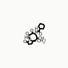 CC1(C)/C=C2/CCC(=O)N2NC(=O)C(=O)C(NC(=O)C2CCCCC2)C1